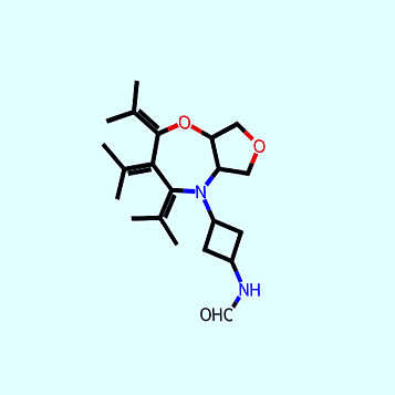 CC(C)=C1OC2COCC2N(C2CC(NC=O)C2)C(=C(C)C)C1=C(C)C